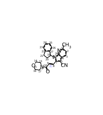 Cc1ccc2c(C#N)c(/C=C/C(=O)N3CCOCC3)n(C3CCc4ccccc43)c2n1